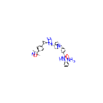 Cc1noc(C)c1-c1ccc(C2CC2NCC2CCN(Cc3ccc(C(=O)Nc4ccccc4N)cc3)CC2)cc1